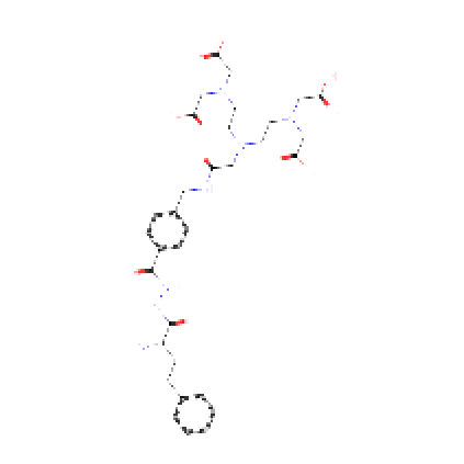 N[C@H](CCc1ccccc1)C(=O)NNC(=O)c1ccc(CNC(=O)CN(CCN(CC(=O)O)CC(=O)O)CCN(CC(=O)O)CC(=O)O)cc1